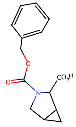 O=C(O)C1C2CC2CN1C(=O)OCc1ccccc1